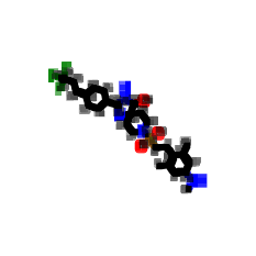 CNc1cc(C)c(CCS(=O)(=O)N2CCC3(CC2)N=C(C2CCC(=CCC(F)(F)F)CC2)NC3=O)c(C)c1